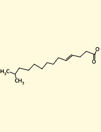 CC(C)CCCCCCCC=CCCC([O])=O